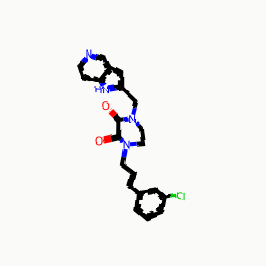 O=C1C(=O)N(Cc2cc3cnccc3[nH]2)CCN1CC=Cc1cccc(Cl)c1